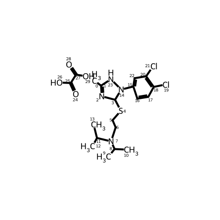 CC1=NC(SCCN(C(C)C)C(C)C)N(c2ccc(Cl)c(Cl)c2)N1.O=C(O)C(=O)O